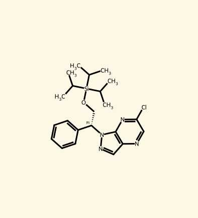 CC(C)[Si](OC[C@@H](c1ccccc1)n1ncc2ncc(Cl)nc21)(C(C)C)C(C)C